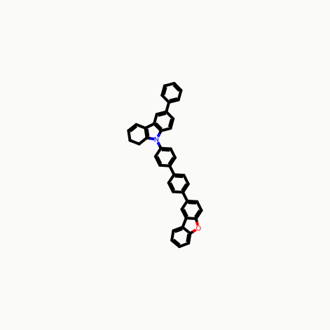 C1=Cc2c(n(-c3ccc(-c4ccc(-c5ccc6oc7ccccc7c6c5)cc4)cc3)c3ccc(-c4ccccc4)cc23)CC1